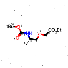 CCOC(=O)COC[C@H](C)NC(=O)OC(C)(C)C